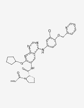 C=CC(=O)N1CCC[C@H]1C(=O)Nc1cc2c(Nc3ccc(OCc4ccccn4)c(Cl)c3)ncnc2cc1OC1CCCC1